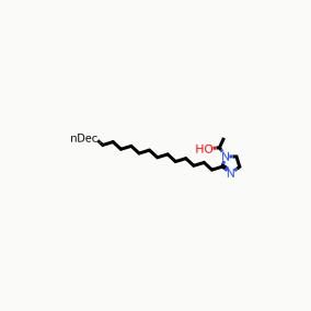 CCCCCCCCCCCCCCCCCCCCCCCC1=NCCN1C(C)O